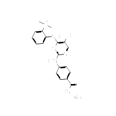 CC(C)CONC(=O)c1ccc(Nc2ncc(C(F)(F)F)c(Nc3ccccc3P(C)(C)=O)n2)cc1